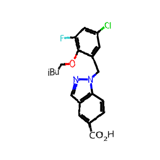 CCC(C)COc1c(F)cc(Cl)cc1Cn1ncc2cc(C(=O)O)ccc21